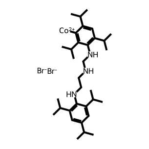 CC(C)c1cc(C(C)C)c(NCCNCNc2c(C(C)C)cc(C(C)C)[c]([Co+2])c2C(C)C)c(C(C)C)c1.[Br-].[Br-]